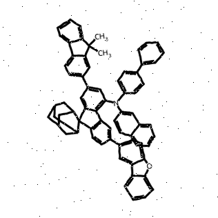 CC1(C)c2ccccc2-c2ccc(-c3cc(N(c4ccc(-c5ccccc5)cc4)c4ccc5ccccc5c4)c4c(c3)C3(c5ccc(-c6ccc7oc8ccccc8c7c6)cc5-4)C4CC5CC(C4)CC3C5)cc21